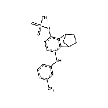 CS(=O)(=O)Oc1ncc(Nc2cccc(C(F)(F)F)c2)c2c1C1CCC2C1